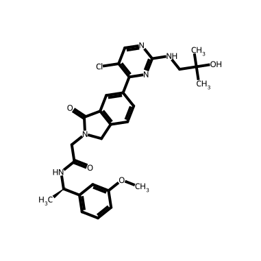 COc1cccc([C@@H](C)NC(=O)CN2Cc3ccc(-c4nc(NCC(C)(C)O)ncc4Cl)cc3C2=O)c1